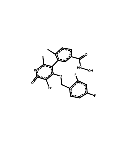 Cc1ccc(C(=O)NO)cc1-c1c(C)[nH]c(=O)c(Br)c1OCc1ccc(F)cc1F